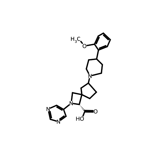 COc1ccccc1C1CCN(C2CCC3(C2)CN(c2cncnc2)[C@H]3C(=O)O)CC1